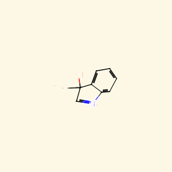 CC(=O)OC1(O)C=Nc2ccccc21